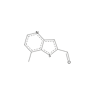 Cc1ccnc2cc(C=O)sc12